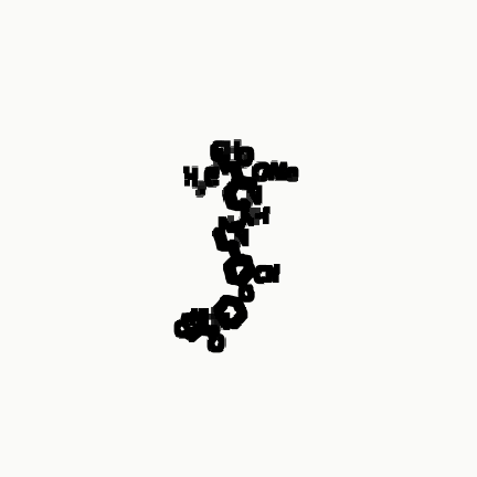 COc1nc(Nc2nccc(-c3ccc(OC4CCN(C(=O)C5=COCN5)CC4)c(C#N)c3)n2)ccc1C(=O)N(C)C